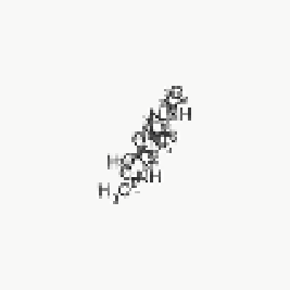 CCC(=O)N[C@H]1C[C@@H](n2cnc3c(N[C@@H]4CCOC4)ncnc32)[C@H](O)[C@@H]1O